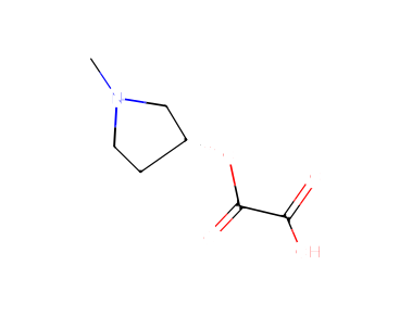 CN1CC[C@@H](OC(=O)C(=O)O)C1